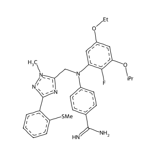 CCOc1cc(OC(C)C)c(F)c(N(Cc2nc(-c3ccccc3SC)nn2C)c2ccc(C(=N)N)cc2)c1